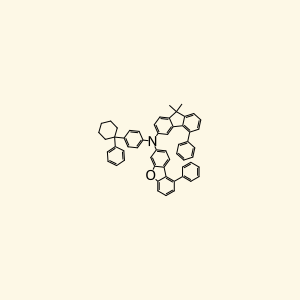 CC1(C)c2ccc(N(c3ccc(C4(c5ccccc5)CCCCC4)cc3)c3ccc4c(c3)oc3cccc(-c5ccccc5)c34)cc2-c2c(-c3ccccc3)cccc21